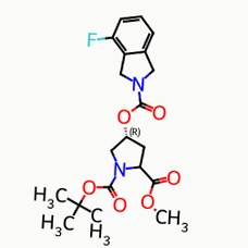 COC(=O)C1C[C@@H](OC(=O)N2Cc3cccc(F)c3C2)CN1C(=O)OC(C)(C)C